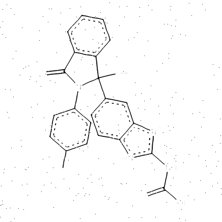 O=C(O)Nc1nc2cc(C3(O)c4ccccc4C(=O)N3c3ccc(F)cc3)ccc2[nH]1